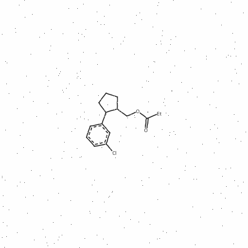 CCC(=O)OCC1CCCC1c1cccc(Cl)c1